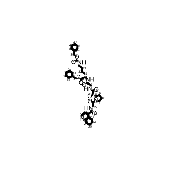 O=C(CNC(=O)C(=O)[C@@H]1CCCN1C(=O)CNC(=O)c1ccnc2ccccc12)N[C@@H](CCCCNC(=O)OCc1ccccc1)C(=O)OCc1ccccc1